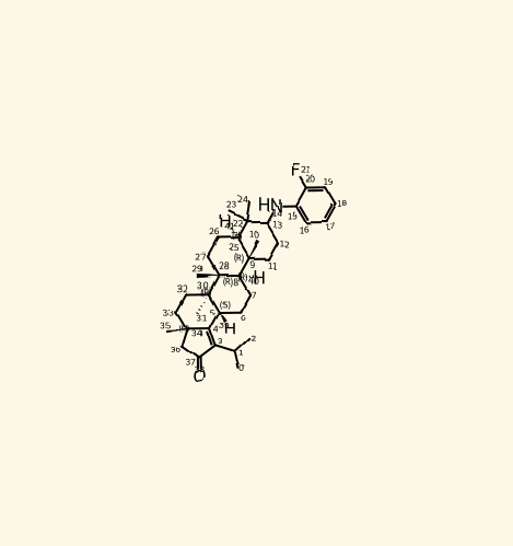 CC(C)C1=C2[C@H]3CC[C@@H]4[C@@]5(C)CCC(Nc6ccccc6F)C(C)(C)[C@@H]5CC[C@@]4(C)[C@]3(C)CC[C@@]2(C)CC1=O